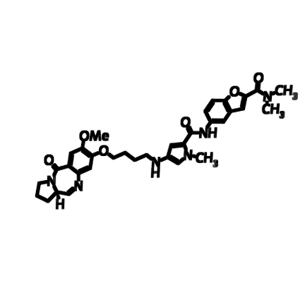 COc1cc2c(cc1OCCCCNc1cc(C(=O)Nc3ccc4oc(C(=O)N(C)C)cc4c3)n(C)c1)N=C[C@@H]1CCCN1C2=O